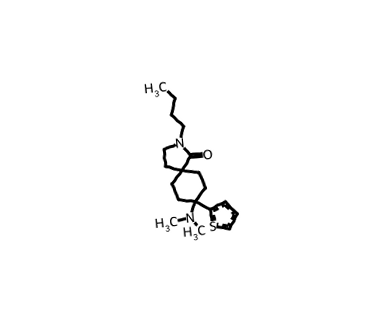 CCCCN1CCC2(CCC(c3cccs3)(N(C)C)CC2)C1=O